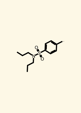 [CH2]c1ccc(S(=O)(=O)N(CCC)CCC)cc1